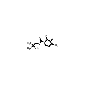 C=C1CCN(C(=O)OCC(C)(C)C)C(F)C1F